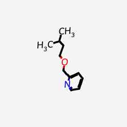 CC(C)CCOCc1ccccn1